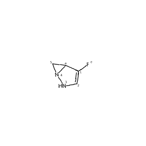 FC1=CNN2CC12